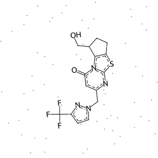 O=c1cc(Cn2ccc(C(F)(F)F)n2)nc2sc3c(n12)C(CO)CC3